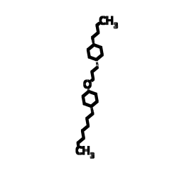 CCCCCCC[C@H]1CC[C@H](OCCC[C@H]2CC[C@H](CCCC)CC2)CC1